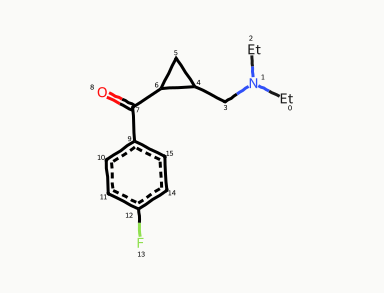 CCN(CC)CC1CC1C(=O)c1ccc(F)cc1